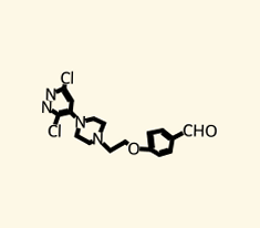 O=Cc1ccc(OCCN2CCN(c3cc(Cl)nnc3Cl)CC2)cc1